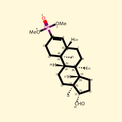 COP(=O)(OC)C1=C[C@@H]2CC[C@@H]3[C@H](CC[C@]4(C)[C@@H](C=O)CC[C@@H]34)[C@@]2(C)CC1